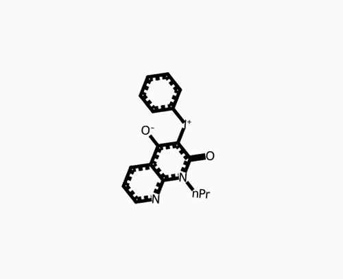 CCCn1c(=O)c([I+]c2ccccc2)c([O-])c2cccnc21